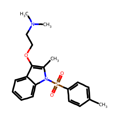 Cc1ccc(S(=O)(=O)n2c(C)c(OCCN(C)C)c3ccccc32)cc1